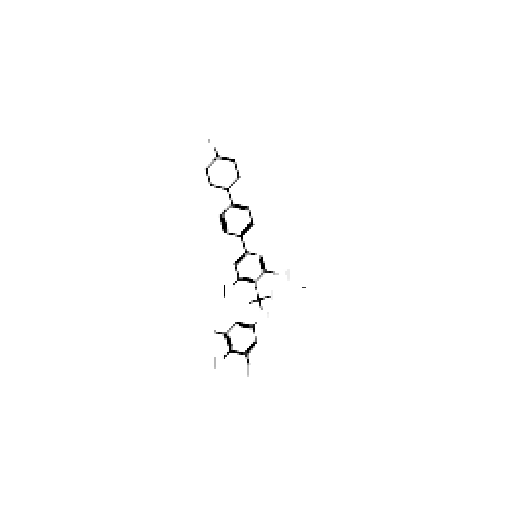 CC1CCC(c2ccc(-c3cc(F)c(C(F)(F)Oc4cc(F)c(F)c(F)c4)c(P)c3)cc2)CC1